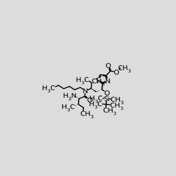 CCCCCCN(C(=O)[C@@H](N)[C@@H](C)CC)[C@H](C[C@@H](O[Si](C)(C)C(C)(C)C)c1nc(C(=O)OC)cs1)C(C)C